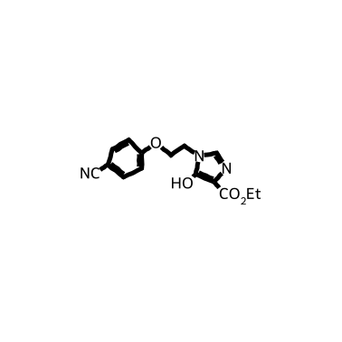 CCOC(=O)c1ncn(CCOc2ccc(C#N)cc2)c1O